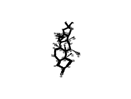 CC(=O)C(=O)[C@@]12OC(C)(C)C[C@@H]1CC1[C@@H]3CCC4=CC(=O)C=C[C@]4(C)[C@@]3(F)[C@@H](O)C[C@@]12C